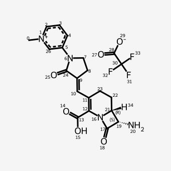 C[n+]1cccc(N2CCC(=CC3=C(C(=O)O)N4C(=O)[C@@H](N)[C@H]4CC3)C2=O)c1.O=C([O-])C(F)(F)F